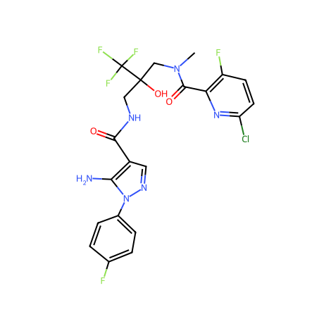 CN(CC(O)(CNC(=O)c1cnn(-c2ccc(F)cc2)c1N)C(F)(F)F)C(=O)c1nc(Cl)ccc1F